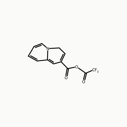 O=C(OC(=O)C(F)(F)F)C1=CCN2C=CC=CC2=C1